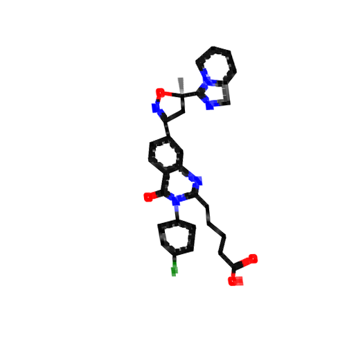 C[C@]1(c2ncc3ccccn23)CC(c2ccc3c(=O)n(-c4ccc(F)cc4)c(CCCCC(=O)O)nc3c2)=NO1